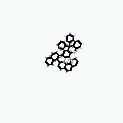 C1=Cc2ccc3ccc(-c4c(-c5ccc6c(c5)C(c5ccccc5)(c5ccccc5)c5ccccc5S6)ccc5ccccc45)nc3c2NC1